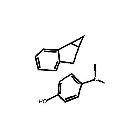 CN(C)c1ccc(O)cc1.c1ccc2c(c1)CC1CC21